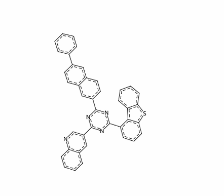 c1ccc(-c2ccc3cc(-c4nc(-c5cnc6ccccc6c5)nc(-c5cccc6sc7ccccc7c56)n4)ccc3c2)cc1